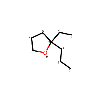 CCCC1(CC)[CH]CCO1